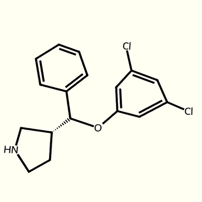 Clc1cc(Cl)cc(OC(c2ccccc2)[C@@H]2CCNC2)c1